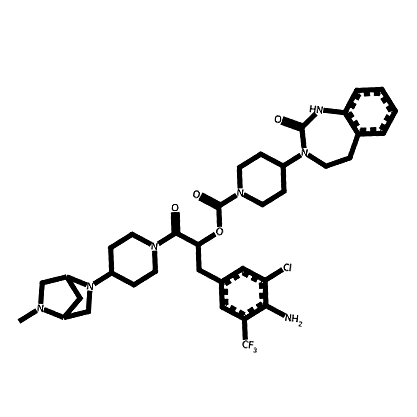 CN1CC2CC1CN2C1CCN(C(=O)C(Cc2cc(Cl)c(N)c(C(F)(F)F)c2)OC(=O)N2CCC(N3CCc4ccccc4NC3=O)CC2)CC1